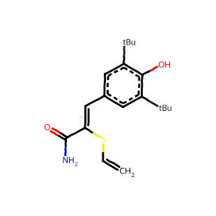 C=CS/C(=C\c1cc(C(C)(C)C)c(O)c(C(C)(C)C)c1)C(N)=O